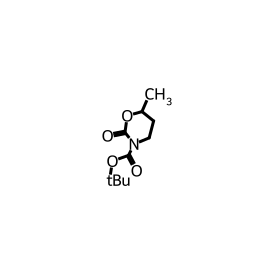 CC1CCN(C(=O)OC(C)(C)C)C(=O)O1